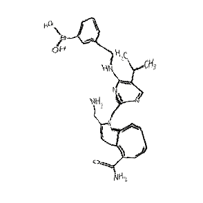 CC(C)c1cnc(-n2c(CN)cc3c(C(N)=O)cccc32)nc1NCc1cccc(B(O)O)c1